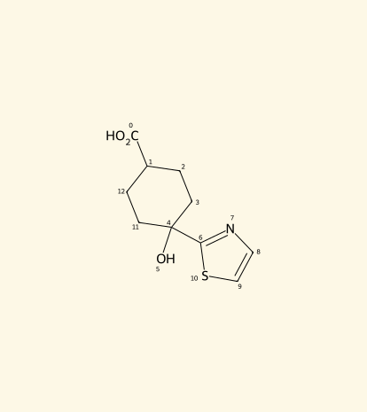 O=C(O)C1CCC(O)(c2nccs2)CC1